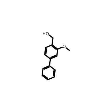 COc1cc(-c2ccccc2)ccc1CO